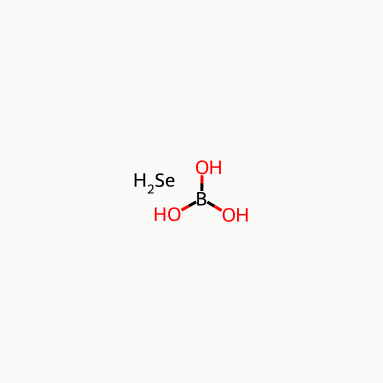 OB(O)O.[SeH2]